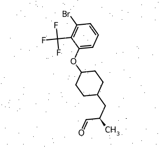 C[C@@H](C=O)CC1CCC(Oc2cccc(Br)c2C(F)(F)F)CC1